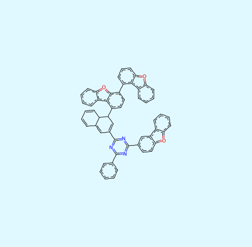 C1=CC2=CC(c3nc(-c4ccccc4)nc(-c4ccc5oc6ccccc6c5c4)n3)=CC(c3ccc(-c4cccc5oc6ccccc6c45)c4oc5ccccc5c34)C2C=C1